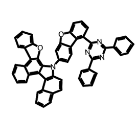 c1ccc(-c2nc(-c3ccccc3)nc(-c3cccc4oc5cc(-n6c7ccc8ccccc8c7c7c8ccccc8c8c9ccccc9oc8c76)ccc5c34)n2)cc1